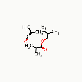 CC(C)=C=O.CC(C)COC(=O)C(C)C